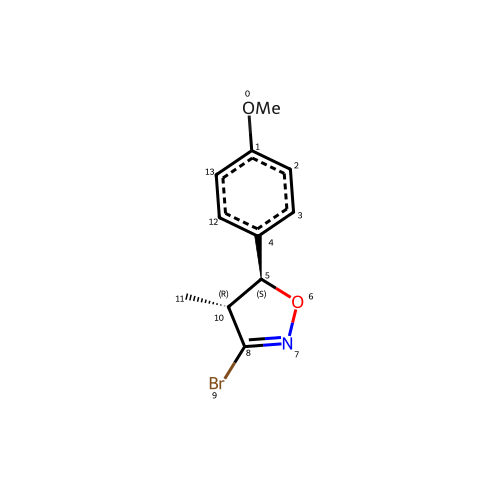 COc1ccc([C@H]2ON=C(Br)[C@@H]2C)cc1